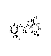 CCn1cc(C(=O)Nc2ccnc(C(F)(F)F)n2)c2cc(F)ccc21